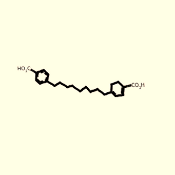 O=C(O)C1=CC=C(CCCCCCCCCc2ccc(C(=O)O)cc2)CC1